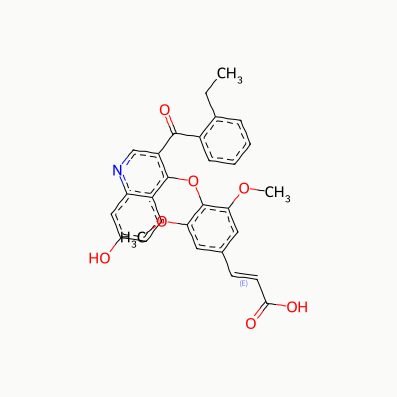 CCc1ccccc1C(=O)c1cnc2cc(O)ccc2c1Oc1c(OC)cc(/C=C/C(=O)O)cc1OC